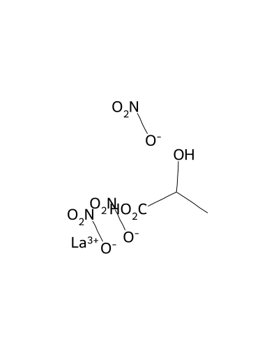 CC(O)C(=O)O.O=[N+]([O-])[O-].O=[N+]([O-])[O-].O=[N+]([O-])[O-].[La+3]